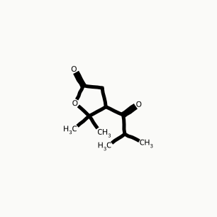 CC(C)C(=O)C1CC(=O)OC1(C)C